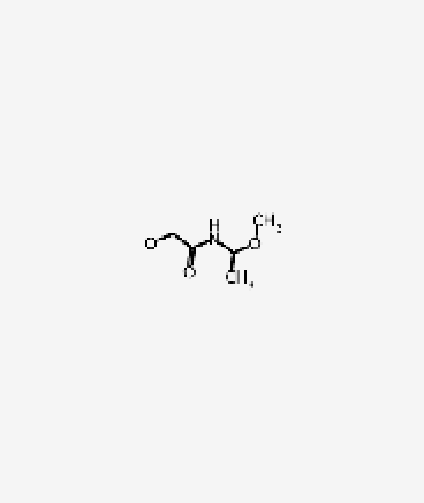 COC(C)NC(=O)C[O]